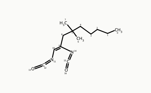 CCCCCC(C)(C)CC(=CN=C=O)N=C=O